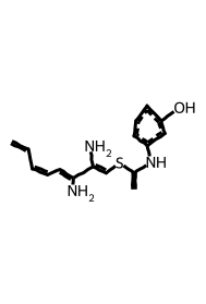 C=C\C=C/C=C(N)/C(N)=C/SC(=C)Nc1cccc(O)c1